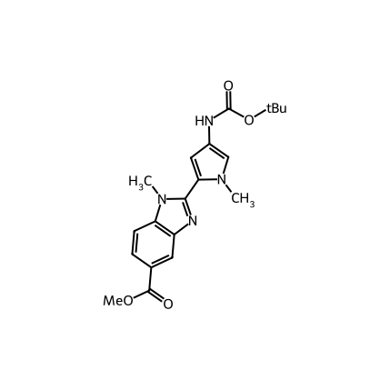 COC(=O)c1ccc2c(c1)nc(-c1cc(NC(=O)OC(C)(C)C)cn1C)n2C